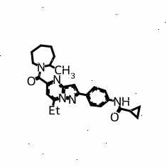 CCc1cc(C(=O)N2CCCCCC2C)nc2cc(-c3ccc(NC(=O)C4CC4)cc3)nn12